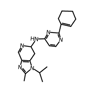 Cc1nc2c(n1C(C)C)CC(Nc1ccnc(C3=CCCCC3)n1)N=C2